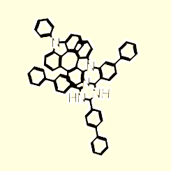 c1ccc(-c2ccc(C3=NC(c4ccc(-c5ccccc5)cc4-n4c5ccccc5c5c(-c6cccc7c6c6ccccc6n7-c6ccccc6)cccc54)NC(c4ccc(-c5ccccc5)cc4)N3)cc2)cc1